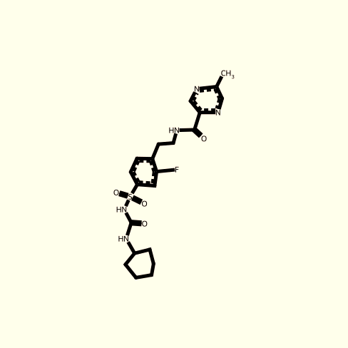 Cc1cnc(C(=O)NCCc2ccc(S(=O)(=O)NC(=O)NC3CCCCC3)cc2F)cn1